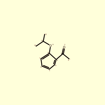 [CH2]C(=O)c1ccccc1OC(C)C